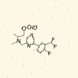 CC(COC=O)N(C)Cc1cncc(-c2ccc(F)c(C(F)F)c2)n1